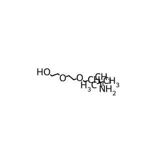 CC(C)(C)N.CCOCCOCCO